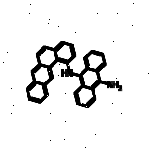 Nc1c2ccccc2c(Nc2cccc3ccc4cc5ccccc5cc4c23)c2ccccc12